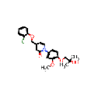 COc1cc(-n2ccc(COc3ccccc3Cl)cc2=O)ccc1OCC(C)(C)O